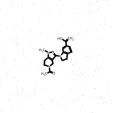 C=C(O)c1ccc2c(c1)N(c1nn(C)c3c1CN(C(C)=O)CC3)CC2